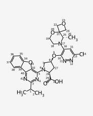 CC(C)c1nc(N2C[C@@H](Oc3nnc(Cl)cc3N3CCOC4(COC4)[C@@H]3C)C[C@H]2C(=O)O)c2oc3ccccc3c2n1